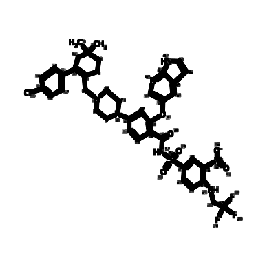 CC1(C)CCC(CN2CCN(c3ccc(C(=O)NS(=O)(=O)c4ccc(NCC(F)(F)F)c([N+](=O)[O-])c4)c(Oc4cnc5[nH]ccc5c4)c3)CC2)=C(c2ccc(Cl)cc2)C1